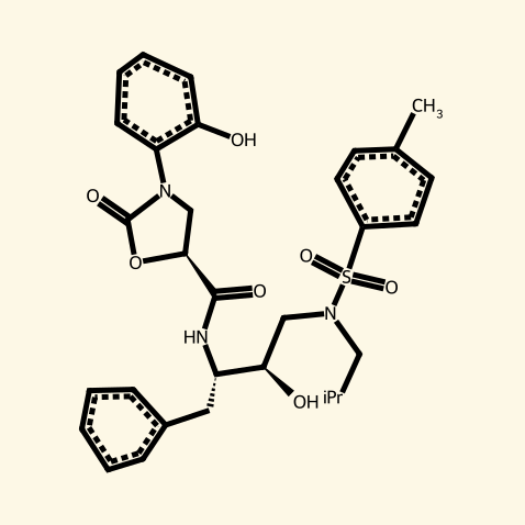 Cc1ccc(S(=O)(=O)N(CC(C)C)C[C@@H](O)[C@H](Cc2ccccc2)NC(=O)[C@@H]2CN(c3ccccc3O)C(=O)O2)cc1